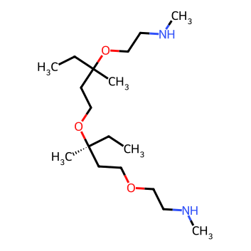 CCC(C)(CCO[C@@](C)(CC)CCOCCNC)OCCNC